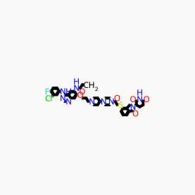 C=CC(=O)Nc1cc2c(Nc3ccc(F)c(Cl)c3)ncnc2cc1OCCCN1CCC(N2CCN(C(=O)CSc3cccc4c3CN(C3CCC(=O)NC3=O)C4=O)CC2)CC1